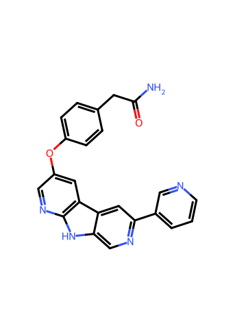 NC(=O)Cc1ccc(Oc2cnc3[nH]c4cnc(-c5cccnc5)cc4c3c2)cc1